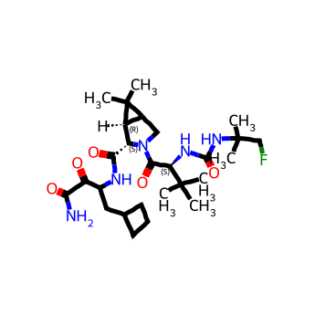 CC(C)(CF)NC(=O)N[C@H](C(=O)N1CC2[C@@H]([C@H]1C(=O)NC(CC1CCC1)C(=O)C(N)=O)C2(C)C)C(C)(C)C